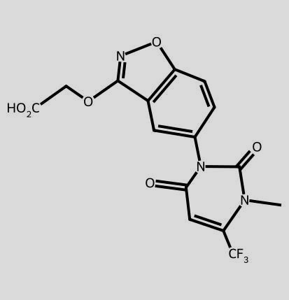 Cn1c(C(F)(F)F)cc(=O)n(-c2ccc3onc(OCC(=O)O)c3c2)c1=O